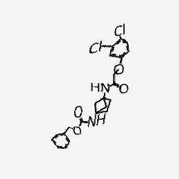 O=C(COc1ccc(Cl)c(Cl)c1)NC12CCC(NC(=O)OCc3ccccc3)(C1)C2